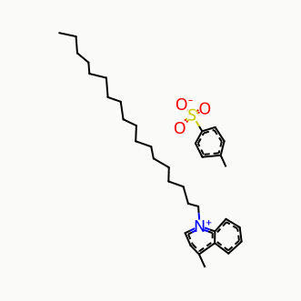 CCCCCCCCCCCCCCCCCC[n+]1ccc(C)c2ccccc21.Cc1ccc(S(=O)(=O)[O-])cc1